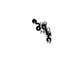 COc1cc(C(=O)Nc2nnc(-c3ccncc3)s2)ccc1OC(CCN1CCCC1)c1ccccc1